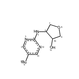 CC(C)(C)c1cnc(NC2COCC2O)nc1